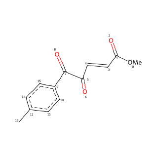 COC(=O)/C=C/C(=O)C(=O)c1ccc(C)cc1